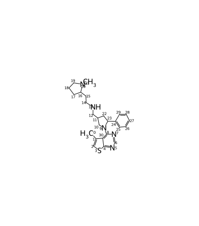 Cc1csc2ncnc(N3CC(CNCCC4CCCN4C)CC3c3ccccc3)c12